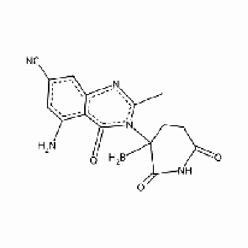 BC1(n2c(C)nc3cc(C#N)cc(N)c3c2=O)CCC(=O)NC1=O